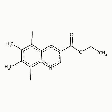 CCOC(=O)c1cnc2c(I)c(C)c(C)c(I)c2c1